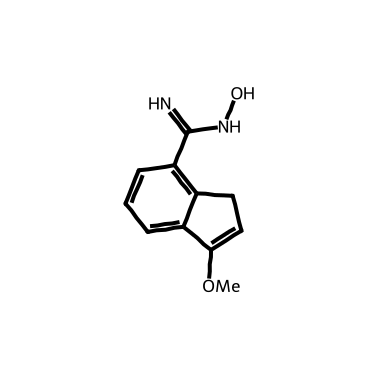 COC1=CCc2c(C(=N)NO)cccc21